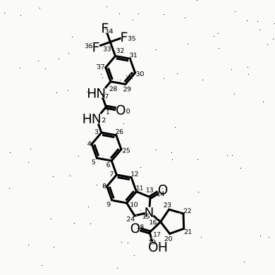 O=C(Nc1ccc(-c2ccc3c(c2)C(=O)N(C2(C(=O)O)CCCC2)C3)cc1)Nc1cccc(C(F)(F)F)c1